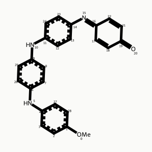 COc1ccc(Nc2ccc(Nc3ccc(N=C4C=CC(=O)C=C4)cc3)cc2)cc1